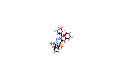 CN1C2CCC1CC(C#N)(NC(=O)C(CC1CCCCC1)NC(=O)N1CCOCC1)C2